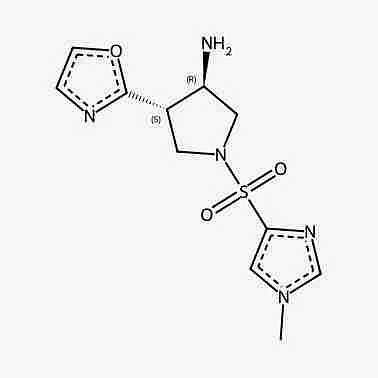 Cn1cnc(S(=O)(=O)N2C[C@H](c3ncco3)[C@@H](N)C2)c1